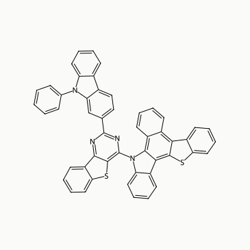 c1ccc(-n2c3ccccc3c3ccc(-c4nc(-n5c6ccccc6c6c7sc8ccccc8c7c7ccccc7c65)c5sc6ccccc6c5n4)cc32)cc1